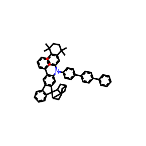 CC1(C)CCC(C)(C)c2cc(N(c3ccc(-c4ccc(-c5ccccc5)cc4)cc3)c3cc4c(cc3-c3ccccc3)-c3ccccc3C43C4CC5CC(C4)C3C5)ccc21